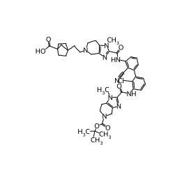 Cn1c(C(=O)Nc2cccc(-c3cccc(NC(=O)c4nc5c(n4C)CCN(CCC46CCC(C(=O)O)(CC4)C6)C5)c3C#N)c2Cl)nc2c1CCN(C(=O)OC(C)(C)C)C2